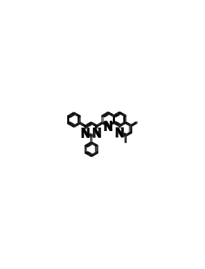 Cc1cc(C)c2ccc3ccc(-c4cc(-c5ccccc5)nc(-c5ccccc5)n4)nc3c2n1